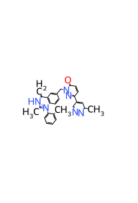 C=C(N/C(C)=N/c1ccccc1C)c1cccc(Cn2nc(-c3cnnc(C)c3)ccc2=O)c1